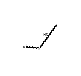 CCCCCCCCCCC(O)CCCCCCCCCCCN(C)C(=O)CCCCCCCC(=O)O